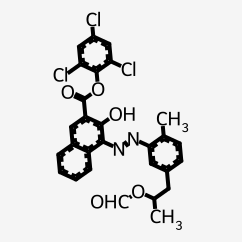 Cc1ccc(CC(C)OC=O)cc1N=Nc1c(O)c(C(=O)Oc2c(Cl)cc(Cl)cc2Cl)cc2ccccc12